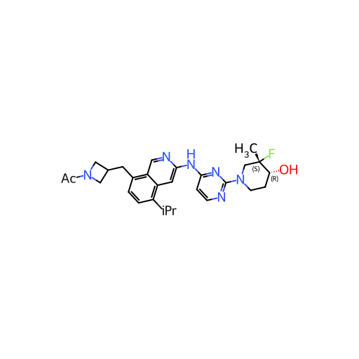 CC(=O)N1CC(Cc2ccc(C(C)C)c3cc(Nc4ccnc(N5CC[C@@H](O)[C@@](C)(F)C5)n4)ncc23)C1